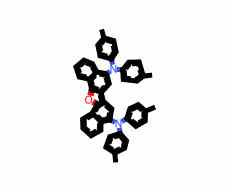 Cc1ccc(N(c2ccc(C)cc2)c2cc3c4cc(N(c5ccc(C)cc5)c5ccc(C)cc5)c5ccccc5c4oc3c3ccccc23)cc1